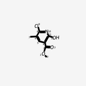 COC(=O)c1cc(C)c(Cl)nc1O